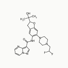 CC(C)(O)C1Cc2cc(NC(=O)c3cnn4cccnc34)c(N3CCN(CC(F)F)CC3)cc2O1